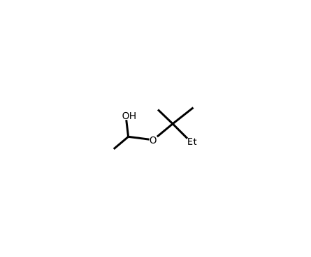 CCC(C)(C)OC(C)O